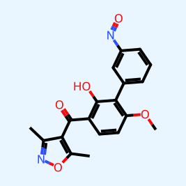 COc1ccc(C(=O)c2c(C)noc2C)c(O)c1-c1cccc(N=O)c1